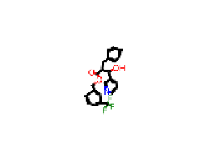 O=C(OCc1cccc(C(F)(F)F)c1)C(Cc1ccccc1)C(O)c1cccnc1